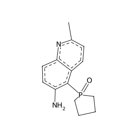 Cc1ccc2c(P3(=O)CCCC3)c(N)ccc2n1